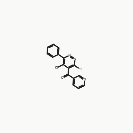 O=C(c1cccnc1)c1c(Cl)nnc(-c2ccccc2)c1Cl